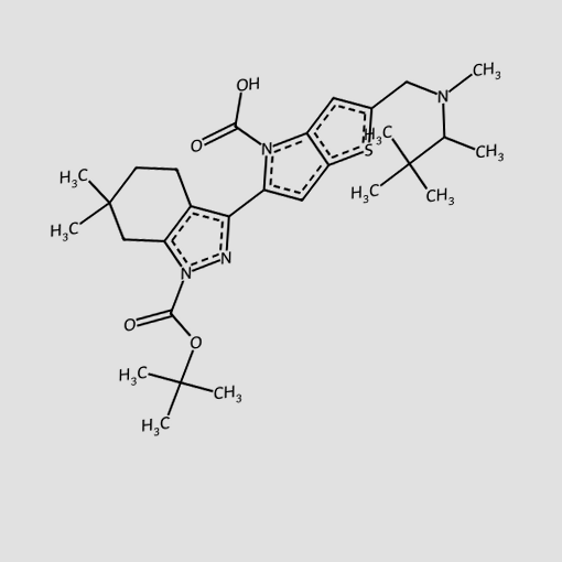 CC(N(C)Cc1cc2c(cc(-c3nn(C(=O)OC(C)(C)C)c4c3CCC(C)(C)C4)n2C(=O)O)s1)C(C)(C)C